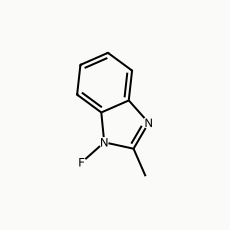 Cc1nc2ccccc2n1F